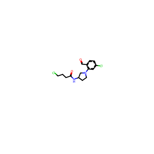 O=Cc1ccc(Cl)cc1N1CCC(NC(=O)CCCCl)C1